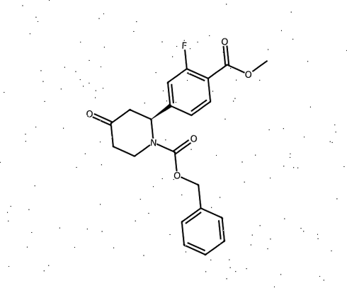 COC(=O)c1ccc([C@@H]2CC(=O)CCN2C(=O)OCc2ccccc2)cc1F